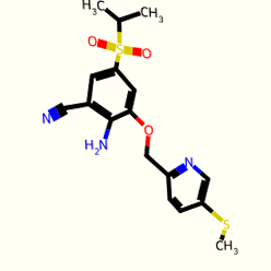 CSc1ccc(COc2cc(S(=O)(=O)C(C)C)cc(C#N)c2N)nc1